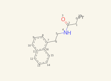 CC(C)CC(=O)NCCc1cccc2ccccc12